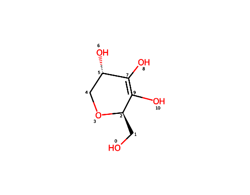 OC[C@H]1OC[C@H](O)C(O)=C1O